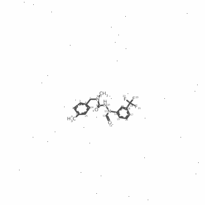 Cc1ccc(CN(C)C(=O)NN(C=O)c2cccc(C(F)(F)F)c2)cc1